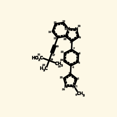 Cn1cc(-c2ccc(-c3cnn4cccc(C#CC(C)(C)C(=O)O)c34)cc2)cn1